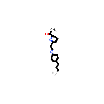 CCCCc1ccc(N=CCc2cccc(C(C)=O)n2)cc1